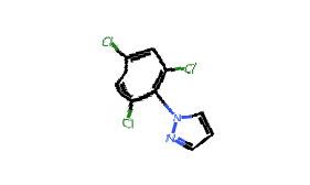 Clc1cc(Cl)c(-n2cccn2)c(Cl)c1